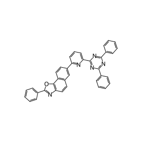 c1ccc(-c2nc(-c3ccccc3)nc(-c3cccc(-c4ccc5c(ccc6nc(-c7ccccc7)oc65)c4)n3)n2)cc1